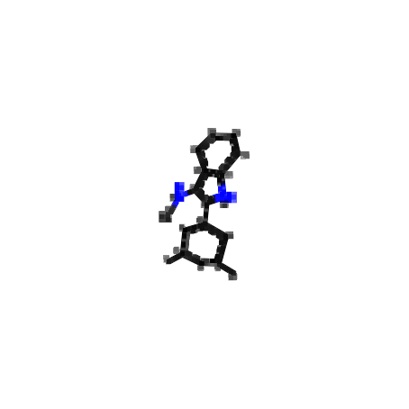 CCNc1c(-c2cc(C)cc(C)c2)[nH]c2ccccc12